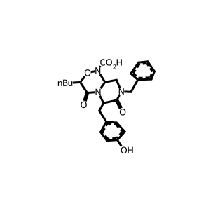 CCCCC1ON(C(=O)O)C2CN(Cc3ccccc3)C(=O)C(Cc3ccc(O)cc3)N2C1=O